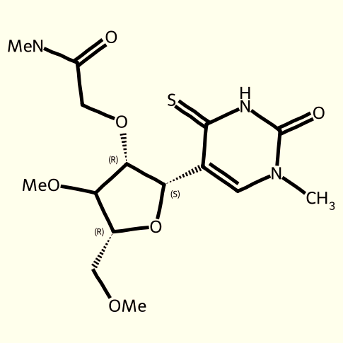 CNC(=O)CO[C@H]1C(OC)[C@@H](COC)O[C@H]1c1cn(C)c(=O)[nH]c1=S